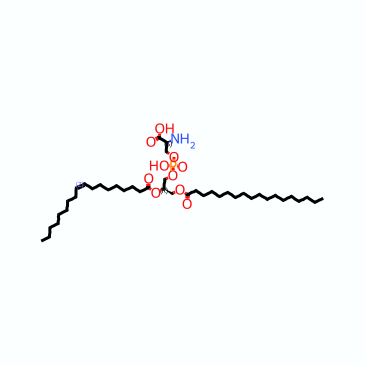 CCCCCCCC/C=C\CCCCCCCC(=O)O[C@H](COC(=O)CCCCCCCCCCCCCCCCC)COP(=O)(O)OC[C@H](N)C(=O)O